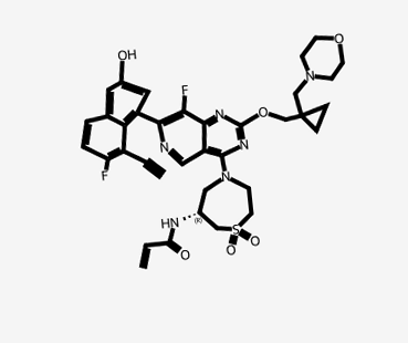 C#Cc1c(F)ccc2cc(O)cc(-c3ncc4c(N5CCS(=O)(=O)C[C@H](NC(=O)C=C)C5)nc(OCC5(CN6CCOCC6)CC5)nc4c3F)c12